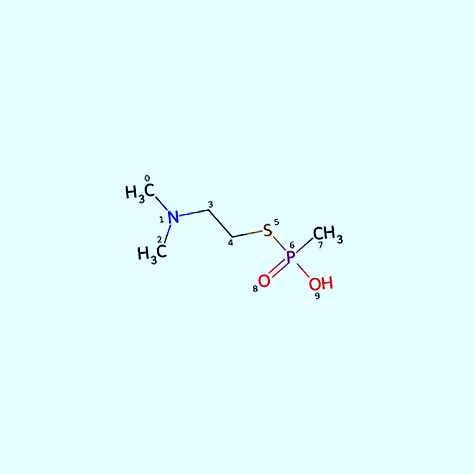 CN(C)CCSP(C)(=O)O